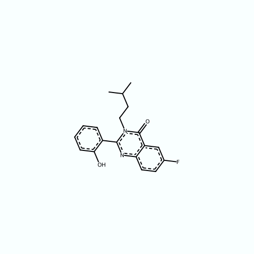 CC(C)CCn1c(-c2ccccc2O)nc2ccc(F)cc2c1=O